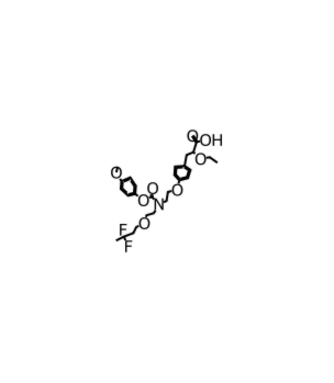 CCOC(Cc1ccc(OCCN(CCOCCC(C)(F)F)C(=O)Oc2ccc(OC)cc2)cc1)C(=O)O